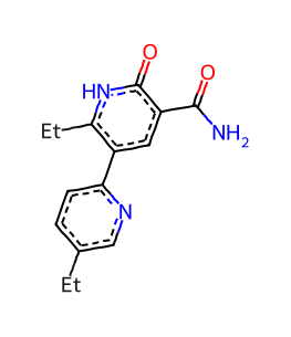 CCc1ccc(-c2cc(C(N)=O)c(=O)[nH]c2CC)nc1